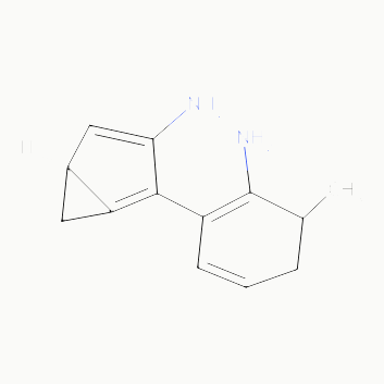 CC1CC=CC(C2=C3C[C@H]3C=C2N)=C1N